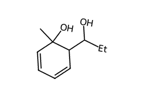 CCC(O)C1C=CC=CC1(C)O